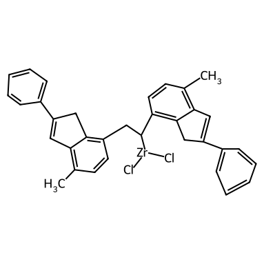 Cc1ccc(C[CH](c2ccc(C)c3c2CC(c2ccccc2)=C3)[Zr]([Cl])[Cl])c2c1C=C(c1ccccc1)C2